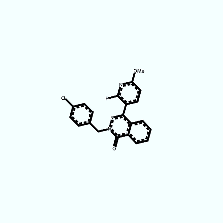 COc1ccc(-c2nn(Cc3ccc(Cl)cc3)c(=O)c3ccccc23)c(F)n1